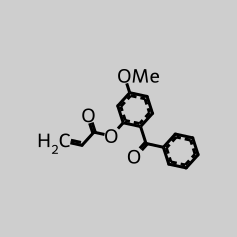 C=CC(=O)Oc1cc(OC)ccc1C(=O)c1ccccc1